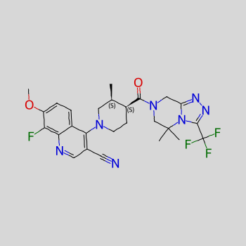 COc1ccc2c(N3CC[C@H](C(=O)N4Cc5nnc(C(F)(F)F)n5C(C)(C)C4)[C@H](C)C3)c(C#N)cnc2c1F